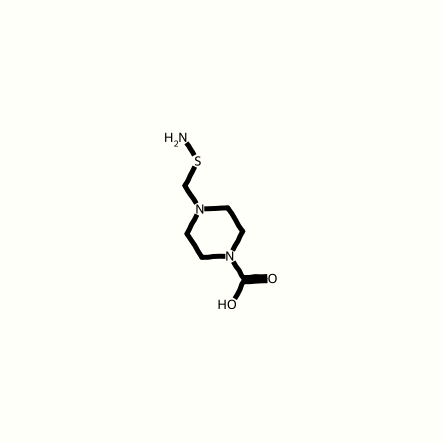 NSCN1CCN(C(=O)O)CC1